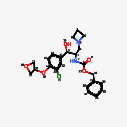 O=C(N[C@H](CN1CCC1)[C@H](O)c1ccc(OC2COC2)c(Cl)c1)OCc1ccccc1